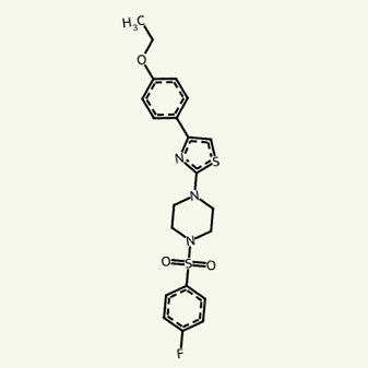 CCOc1ccc(-c2csc(N3CCN(S(=O)(=O)c4ccc(F)cc4)CC3)n2)cc1